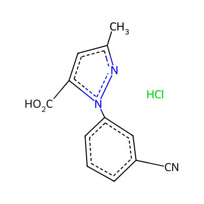 Cc1cc(C(=O)O)n(-c2cccc(C#N)c2)n1.Cl